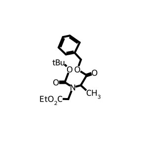 CCOC(=O)CN(C(=O)OC(C)(C)C)C(C)C(=O)OCc1ccccc1